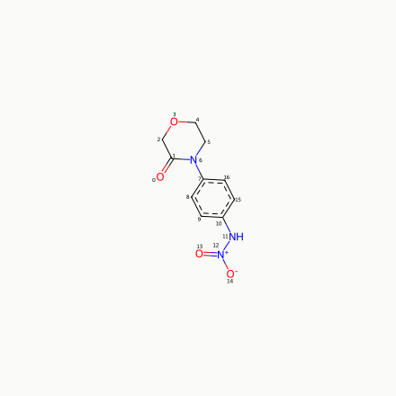 O=C1COCCN1c1ccc(N[N+](=O)[O-])cc1